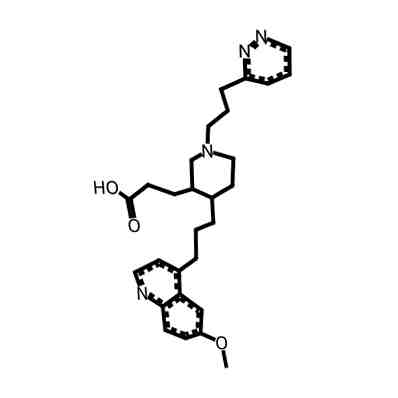 COc1ccc2nccc(CCCC3CCN(CCCc4cccnn4)CC3CCC(=O)O)c2c1